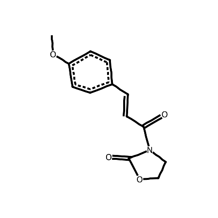 COc1ccc(C=CC(=O)N2CCOC2=O)cc1